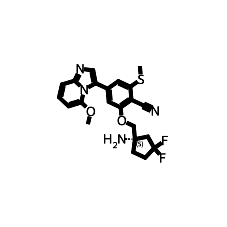 COc1cccc2ncc(-c3cc(OC[C@]4(N)CCC(F)(F)C4)c(C#N)c(SC)c3)n12